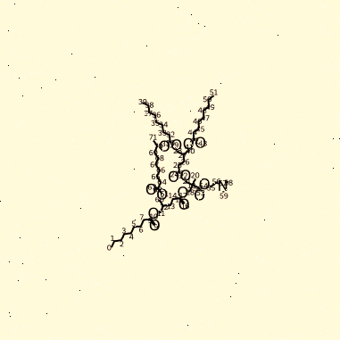 CCCCCCCCC(=O)OCC(CCC(=O)OCC(C)(COC(=O)CCC(COC(=O)CCCCCCCC)COC(=O)CCCCCCCC)C(=O)OCCN(C)C)COC(=O)CCCCCCCC